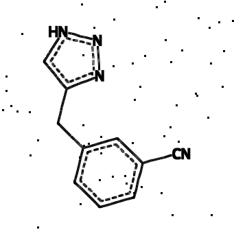 N#Cc1cccc(Cc2c[nH]nn2)c1